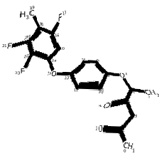 CC(=O)CC(=O)C(C)Oc1ccc(Oc2cc(F)c(C)c(F)c2F)cc1